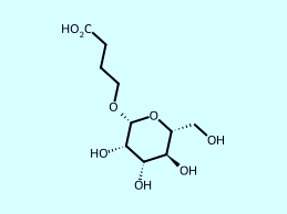 O=C(O)CCCO[C@@H]1O[C@H](CO)[C@@H](O)[C@H](O)[C@@H]1O